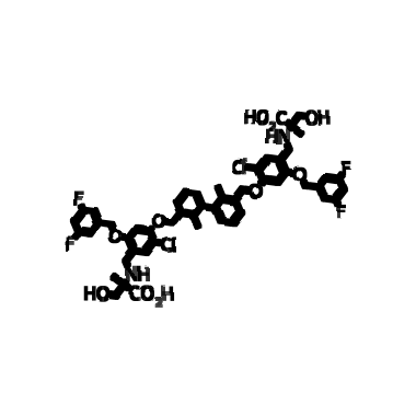 Cc1c(COc2cc(OCc3cc(F)cc(F)c3)c(CNC(C)(CO)C(=O)O)cc2Cl)cccc1-c1cccc(COc2cc(OCc3cc(F)cc(F)c3)c(CNC(C)(CO)C(=O)O)cc2Cl)c1C